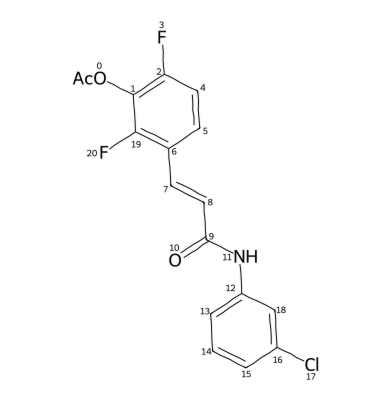 CC(=O)Oc1c(F)ccc(/C=C/C(=O)Nc2cccc(Cl)c2)c1F